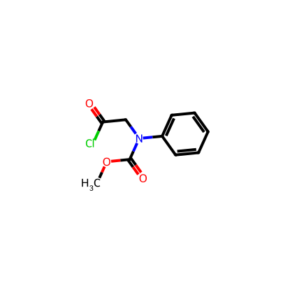 COC(=O)N(CC(=O)Cl)c1ccccc1